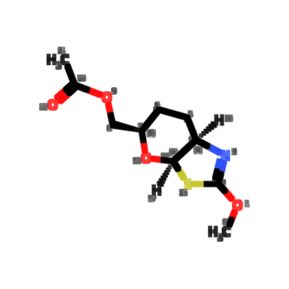 COC1=N[C@@H]2[C][C][C@H](COC(C)=O)O[C@@H]2S1